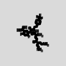 NCCN(CCN)C(=O)CC[C@H](N)C(=O)N[C@H](CCc1ccc(C(F)(F)F)cc1)C(=O)Nc1cc(B(O)O)c(F)cc1F